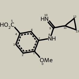 COc1ccc(C(=O)O)cc1NC(=N)C1CC1